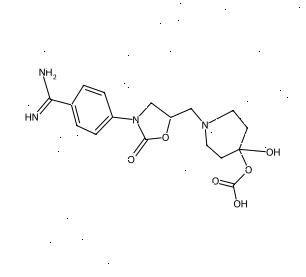 N=C(N)c1ccc(N2CC(CN3CCC(O)(OC(=O)O)CC3)OC2=O)cc1